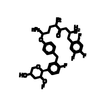 BC(CC(=O)C(CC)CCC(CCC)Oc1ccc(Cc2cc([C@@H]3OCC(O)CC3OF)ccc2F)cc1)Cc1cc(F)c(F)cc1F